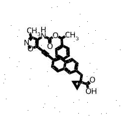 Cc1noc(C#Cc2ccc3cc(CC4(C(=O)O)CC4)ccc3c2)c1NC(=O)OC(C)c1ccccc1